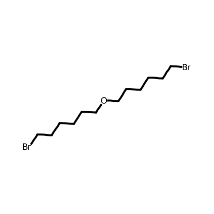 BrCCCCCCOCCCCCCBr